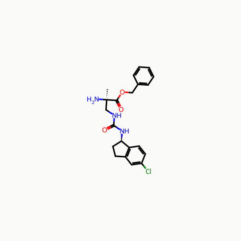 C[C@@](N)(CNC(=O)N[C@@H]1CCc2cc(Cl)ccc21)C(=O)OCc1ccccc1